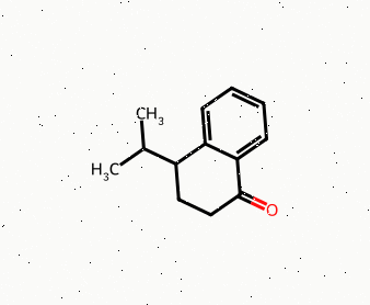 CC(C)C1CCC(=O)c2ccccc21